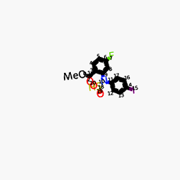 COC(=O)c1ccc(F)cc1N(c1ccc(I)cc1)[SH](=O)=O